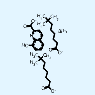 CC(C)(C)CCCCCC(=O)[O-].CC(C)(C)CCCCCC(=O)[O-].O=C([O-])c1ccc2cccc(O)c2n1.[Bi+3]